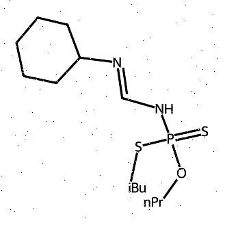 CCCOP(=S)(NC=NC1CCCCC1)SC(C)CC